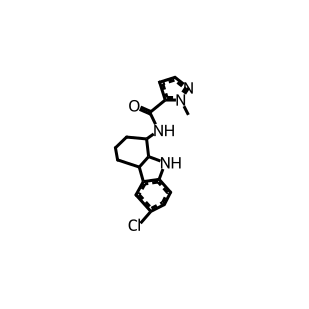 Cn1nccc1C(=O)NC1CCCC2c3cc(Cl)ccc3NC12